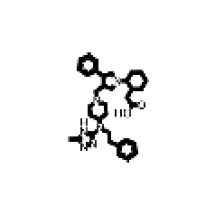 Cc1nnc(N(CCc2ccccc2)C2CCN(CC3CN(C4CCCCC4CC(=O)O)CC3c3ccccc3)CC2)[nH]1